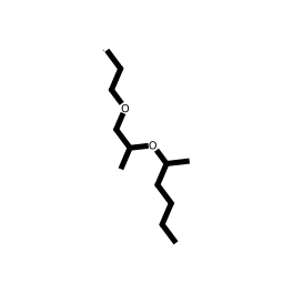 [CH2]CCOCC(C)OC(C)CCCC